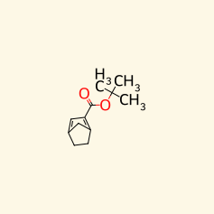 CC(C)(C)OC(=O)C1=C2CCC(=C1)C2